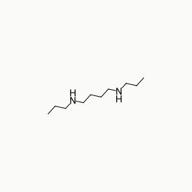 CCCNCCCCNCCC